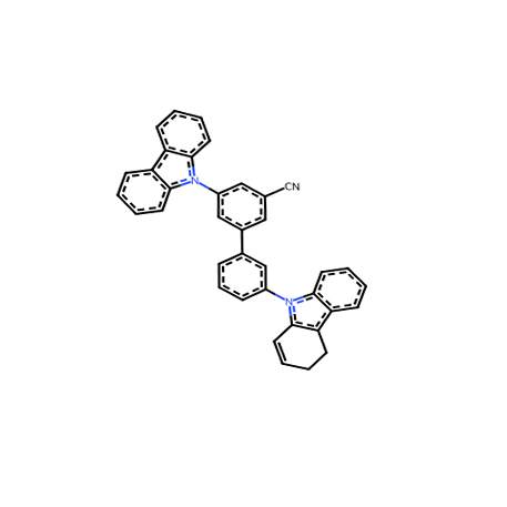 N#Cc1cc(-c2cccc(-n3c4c(c5ccccc53)CCC=C4)c2)cc(-n2c3ccccc3c3ccccc32)c1